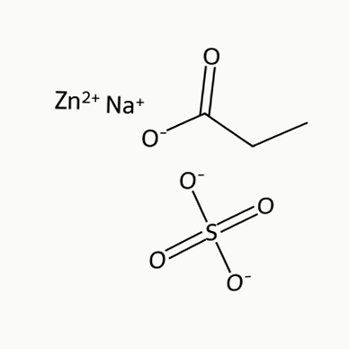 CCC(=O)[O-].O=S(=O)([O-])[O-].[Na+].[Zn+2]